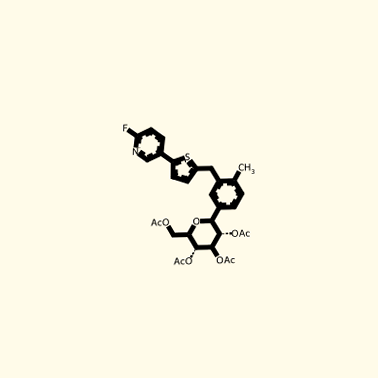 CC(=O)OCC1OC(c2ccc(C)c(Cc3ccc(-c4ccc(F)nc4)s3)c2)[C@H](OC(C)=O)C(OC(C)=O)[C@@H]1OC(C)=O